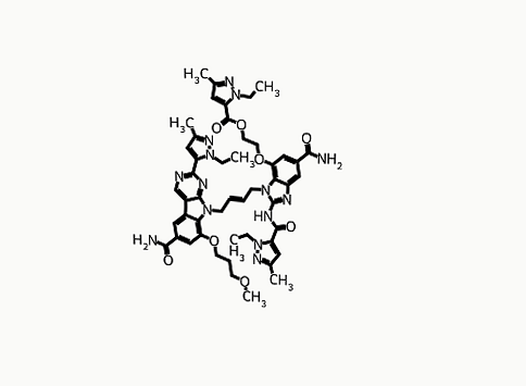 CCn1nc(C)cc1C(=O)Nc1nc2cc(C(N)=O)cc(OCCOC(=O)c3cc(C)nn3CC)c2n1CC=CCn1c2nc(-c3cc(C)nn3CC)ncc2c2cc(C(N)=O)cc(OCCCOC)c21